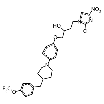 O=[N+]([O-])c1cn(CCC(O)COc2ccc(N3CCC(Cc4ccc(OC(F)(F)F)cc4)CC3)cc2)c(Cl)n1